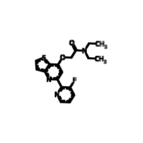 CCN(CC)C(=O)COc1cc(-c2ncccc2F)nc2ccsc12